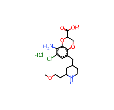 COCCC1CC(Cc2cc(Cl)c(N)c3c2OCC(C(=O)O)O3)CCN1.Cl